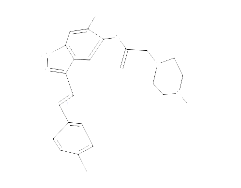 CN1CCN(CC(=O)Nc2cc3c(/C=C/c4ccc(F)cc4)n[nH]c3cc2F)CC1